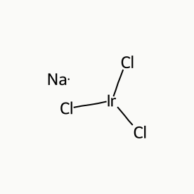 [Cl][Ir]([Cl])[Cl].[Na]